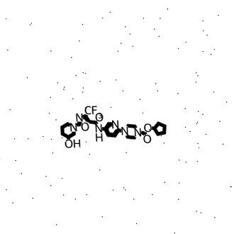 O=C(Nc1ccc(N2CCN(C(=O)OC3CCCC3)CC2)nc1)c1oc(N2CCCC(O)C2)nc1C(F)(F)F